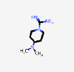 CN(C)C1CCN(C(=N)N)CC1